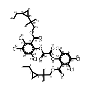 CCC1CC1C(C)(C)COC(=O)c1c(Cl)c(Cl)cc(Cl)c1OC(=O)C(=O)Oc1c(Cl)cc(Cl)c(Cl)c1C(=O)OCC(C)(C)C1CC1CC